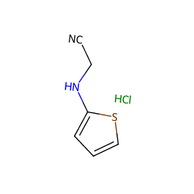 Cl.N#CCNc1cccs1